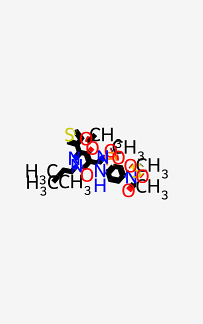 COP1(=O)N=C(c2c(OC(C)=O)c(-c3ccsc3)nn(CCC(C)(C)C)c2=O)Nc2ccc(N(C(C)=O)S(C)(=O)=O)cc21